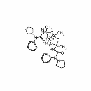 C[Si](C)(NC(=O)N(c1ccccc1)N1CCCC1)O[Si](C)(C)O[Si](C)(C)NC(=O)N(c1ccccc1)N1CCCC1